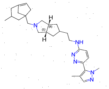 Cc1cnn(C)c1-c1ccc(NCCC2C[C@@H]3CN(CC45CC=C(CC(C)C4)C5)C[C@@H]3C2)nn1